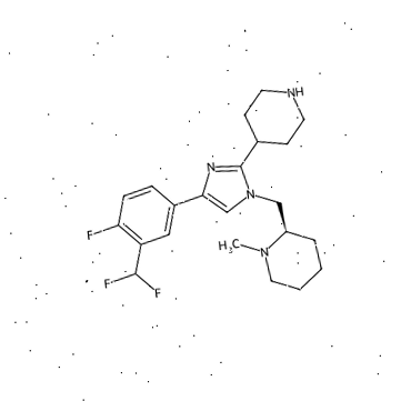 CN1CCCC[C@@H]1Cn1cc(-c2ccc(F)c(C(F)F)c2)nc1C1CCNCC1